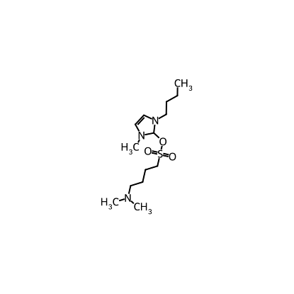 CCCCN1C=CN(C)C1OS(=O)(=O)CCCCN(C)C